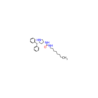 CCCCCCCCNC(=O)N[C@H]1CN[C@@H](C(c2ccccc2)c2ccccc2)C1